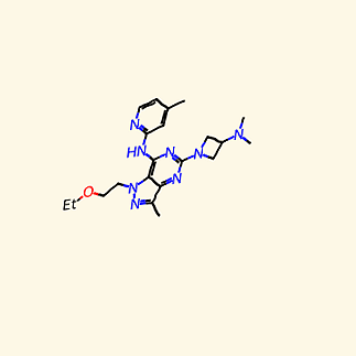 CCOCCn1nc(C)c2nc(N3CC(N(C)C)C3)nc(Nc3cc(C)ccn3)c21